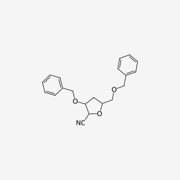 N#CC1OC(COCc2ccccc2)CC1OCc1ccccc1